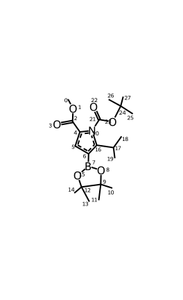 COC(=O)c1cc(B2OC(C)(C)C(C)(C)O2)c(C(C)C)n1C(=O)OC(C)(C)C